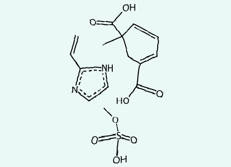 C=Cc1ncc[nH]1.CC1(C(=O)O)C=CC=C(C(=O)O)C1.COS(=O)(=O)O